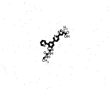 CCNC(=O)Nc1nc2cc(-c3ccc(C4=NOC(C)(C(=O)O)C4)nc3)cc(-c3ccccn3)c2s1